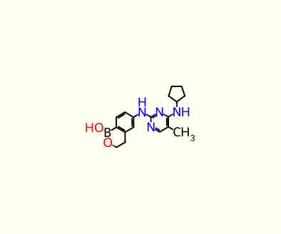 Cc1cnc(Nc2ccc3c(c2)CCOB3O)nc1NC1CCCC1